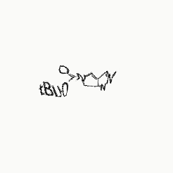 CC(C)(C)OC(=O)N1C=C2C=NN=C2C1